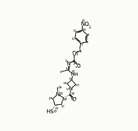 CC(=NC(=O)OCc1ccc([N+](=O)[O-])cc1)NC1CN(C(=O)[C@@H]2C[C@H](S)CN2C)C1